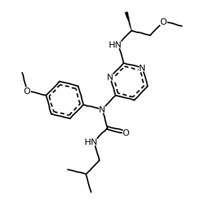 COC[C@H](C)Nc1nccc(N(C(=O)NCC(C)C)c2ccc(OC)cc2)n1